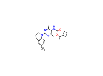 Cc1nc(N2CCCc3cc(C(F)(F)F)ccc32)nc(C)c1NC(=O)OC(C)C1CCC1